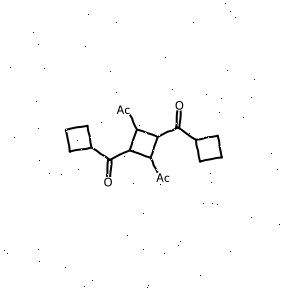 CC(=O)C1C(C(=O)C2CCC2)C(C(C)=O)C1C(=O)C1CCC1